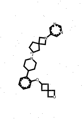 c1ccc(C2CCN([C@@H]3CCC4(C3)CN(c3cncnc3)C4)CC2)c(OC2CC3(COC3)C2)c1